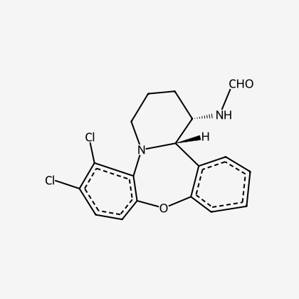 O=CN[C@H]1CCCN2c3c(ccc(Cl)c3Cl)Oc3ccccc3[C@@H]12